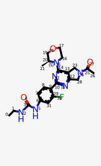 CCNC(=O)Nc1ccc(-c2nc3c(c(N4CCOC[C@@H]4C)n2)CN(C(C)=O)C3)c(F)c1